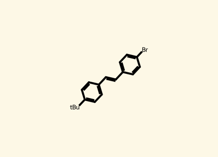 CC(C)(C)c1ccc(C=Cc2ccc(Br)cc2)cc1